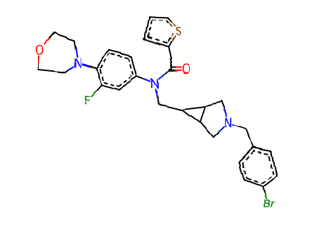 O=C(c1cccs1)N(CC1C2CN(Cc3ccc(Br)cc3)CC21)c1ccc(N2CCOCC2)c(F)c1